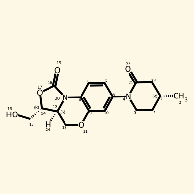 C[C@@H]1CCN(c2ccc3c(c2)OC[C@H]2[C@H](CO)OC(=O)N32)C(=O)C1